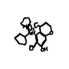 C1CCC(NC2CCCCC2)CC1.O=C(O)C1CCOc2cc(O)c(Cl)cc21